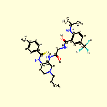 CCCN1CC[C@@H](NC(=S)c2ccc(C)cc2)[C@@H](NC(=O)CNC(=O)c2cc(C(F)(F)F)ccc2NC(C)C)C1